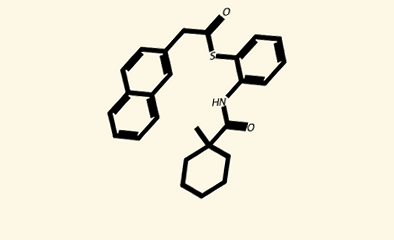 CC1(C(=O)Nc2ccccc2SC(=O)Cc2ccc3ccccc3c2)CCCCC1